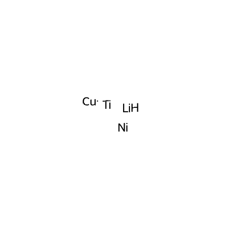 [Cu].[LiH].[Ni].[Ti]